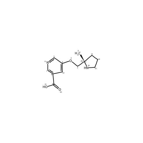 C[C@@]1(COc2cncc(C(=O)O)c2)CCCN1